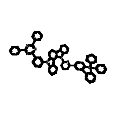 c1ccc(-c2nc(-c3ccccc3)nc(-c3cccc(-n4c5ccccc5c5c4ccc4c6ccccc6n(-c6cccc(-c7ccc8c(c7)-c7ccccc7[Si]8(c7ccccc7)c7ccccc7)n6)c45)c3)n2)cc1